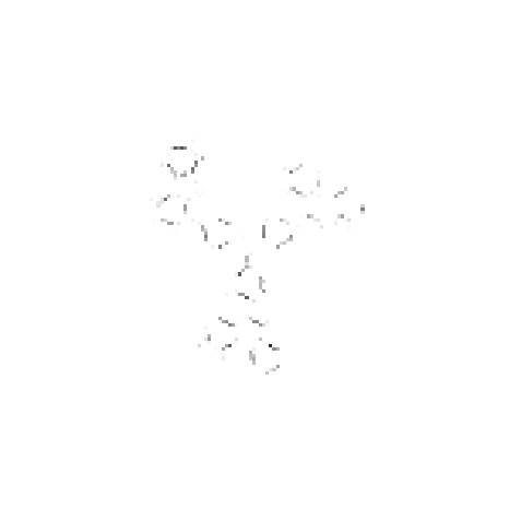 c1ccc2c(c1)cc(-c1ccc(N(c3ccc(-c4cc5ccccc5c5ccccc45)cc3)c3ccc(-c4cccc5c4oc4ccccc45)cc3)cc1)c1ccccc12